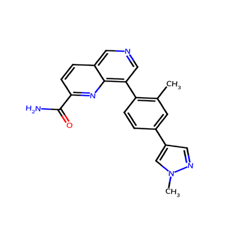 Cc1cc(-c2cnn(C)c2)ccc1-c1cncc2ccc(C(N)=O)nc12